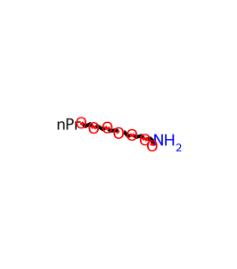 CCCOCCOCCOCCOCCOCCOCC(N)=O